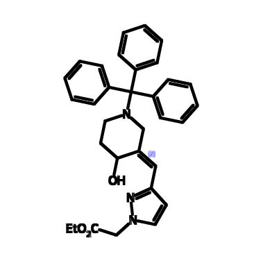 CCOC(=O)Cn1ccc(/C=C2/CN(C(c3ccccc3)(c3ccccc3)c3ccccc3)CCC2O)n1